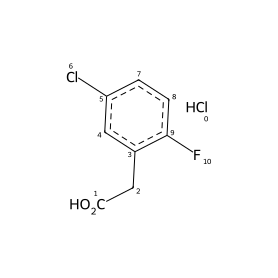 Cl.O=C(O)Cc1cc(Cl)ccc1F